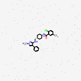 Cn1cc(-c2ccccc2)c(NC[C@H]2CC[C@H](NC(=O)c3cc(C(F)(F)F)ccc3Cl)CC2)n1